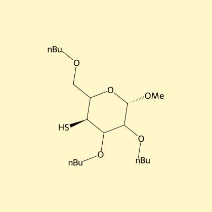 CCCCOCC1O[C@H](OC)C(OCCCC)C(OCCCC)[C@H]1S